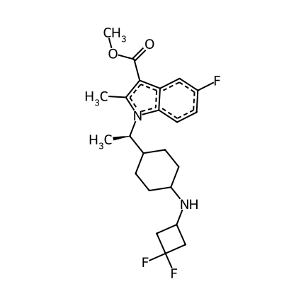 COC(=O)c1c(C)n([C@H](C)C2CCC(NC3CC(F)(F)C3)CC2)c2ccc(F)cc12